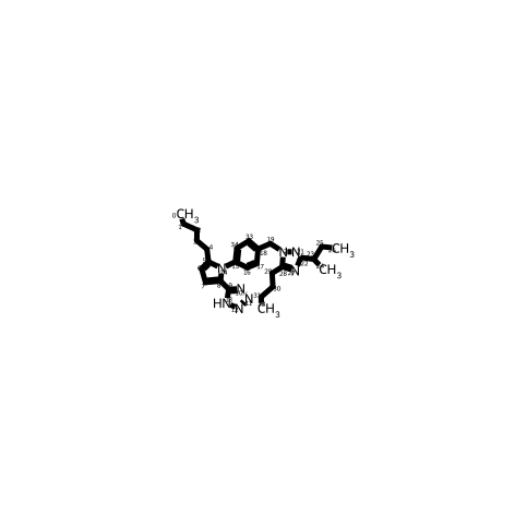 CCCCCc1ccc(-c2nnn[nH]2)n1-c1ccc(Cn2nc(C(C)CC)nc2CCCC)cc1